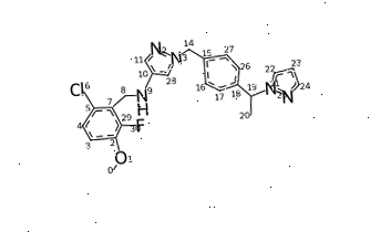 COc1ccc(Cl)c(CNc2cnn(Cc3ccc(C(C)n4cccn4)cc3)c2)c1F